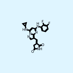 O=C1C/C(=C\c2cnn3c(NC4CC4)cc(Nc4cccc(F)c4F)nc23)C(=O)N1